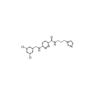 O=C(NCCCn1ccnc1)c1ccc(NCc2cc(Cl)cc(Cl)c2)nn1